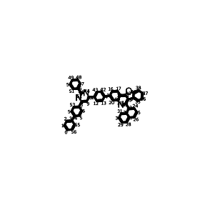 c1ccc(-c2ccc(-c3cc(-c4ccc(-c5ccc6c(c5)nc(-c5cccc7ccccc57)c5c7ccccc7oc65)cc4)nc(-c4ccccc4)n3)cc2)cc1